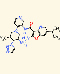 CC(C)c1cnc2c(C(=O)Nc3cnccc3N3CC(C)[C@H](n4ccnn4)C(N)C3)c(N)oc2c1